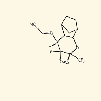 CC1(OCO)C2C3CCC(C3)C2OC(O)(C(F)(F)F)C1(F)F